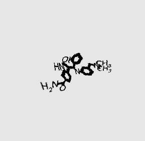 CN(C)Cc1cccc(N=C(c2ccccc2)c2c(O)[nH]c3cc(C(N)=O)ccc23)c1